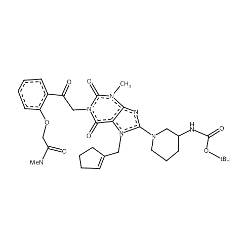 CNC(=O)COc1ccccc1C(=O)Cn1c(=O)c2c(nc(N3CCCC(NC(=O)OC(C)(C)C)C3)n2CC2=CCCC2)n(C)c1=O